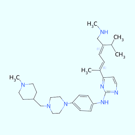 CNC/C(=C/C=C(\C)c1ccnc(Nc2ccc(N3CCN(CC4CCN(C)CC4)CC3)cc2)n1)C(C)C